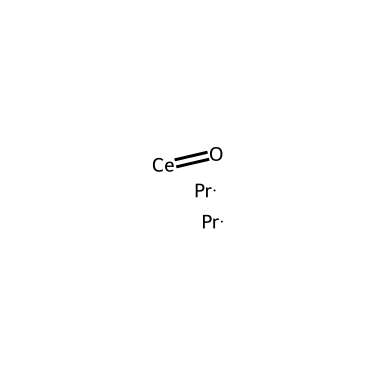 [O]=[Ce].[Pr].[Pr]